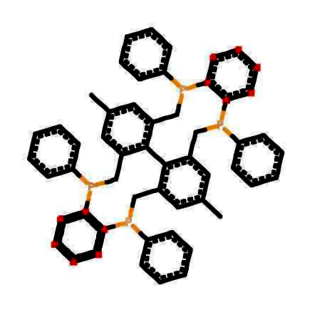 Cc1cc(CP(c2ccccc2)c2ccccc2)c(-c2c(CP(c3ccccc3)c3ccccc3)cc(C)cc2CP(c2ccccc2)c2ccccc2)c(CP(c2ccccc2)c2ccccc2)c1